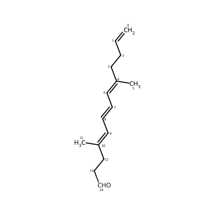 C=CCC/C(C)=C/C=C/C=C(\C)CCC=O